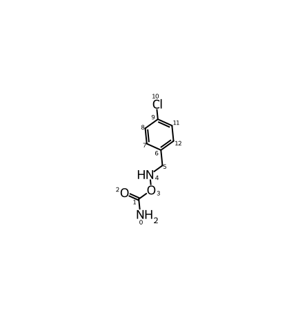 NC(=O)ONCc1ccc(Cl)cc1